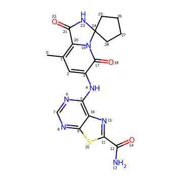 Cc1cc(Nc2ncnc3sc(C(N)=O)nc23)c(=O)n2c1C(=O)NC21CCCC1